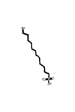 CCCS(=O)(=O)CCCCCCCCCCCCBr